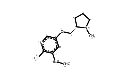 Cc1ncc(OC[C@@H]2CCCN2C)cc1NC=O